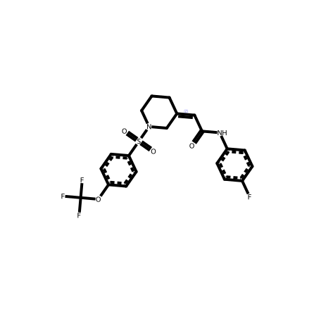 O=C(/C=C1/CCCN(S(=O)(=O)c2ccc(OC(F)(F)F)cc2)C1)Nc1ccc(F)cc1